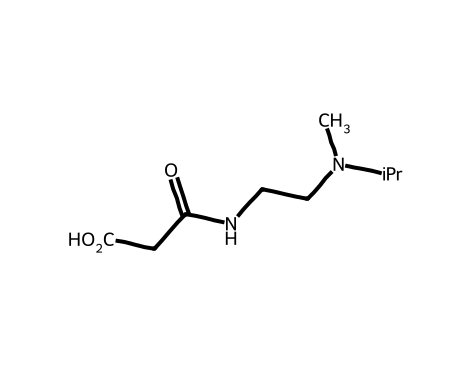 CC(C)N(C)CCNC(=O)CC(=O)O